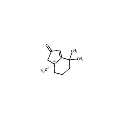 CC1(C)CCC[C@@]2(C)CC(=O)C=C12